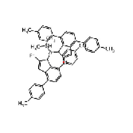 CCC1=Cc2c(-c3ccc(C)cc3)ccc(-c3ccc(C)cc3)c2[CH]1[Zr]([CH]1C(CC)=Cc2c(-c3ccc(C)cc3)ccc(-c3ccc(C)cc3)c21)[SiH](C)C